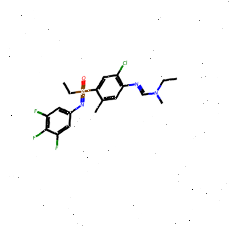 CCN(C)C=Nc1cc(C)c(S(=O)(CC)=Nc2cc(F)c(F)c(F)c2)cc1Cl